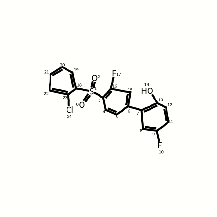 O=S(=O)(c1ccc(-c2cc(F)ccc2O)cc1F)c1ccccc1Cl